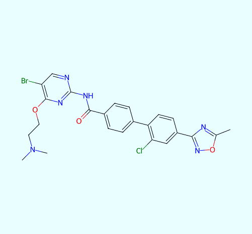 Cc1nc(-c2ccc(-c3ccc(C(=O)Nc4ncc(Br)c(OCCN(C)C)n4)cc3)c(Cl)c2)no1